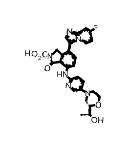 C[C@H](O)[C@@H]1CN(c2ccc(Nc3ccc(-c4cnc5cc(F)ccn45)c4c3C(=O)N(C(=O)O)C4)nc2)CCO1